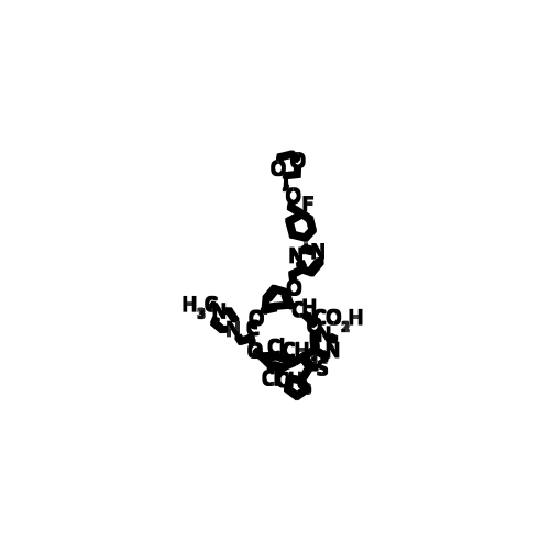 Cc1c(Cl)c2c(Cl)c(C)c1-c1c(C3=CCCC3)sc3ncnc(c13)O[C@@H](C(=O)O)Cc1cc(ccc1OCc1ccnc([C@H]3CC[C@@](F)(COC[C@@H]4COCCO4)CC3)n1)OCC(CN1CCN(C)CC1)O2